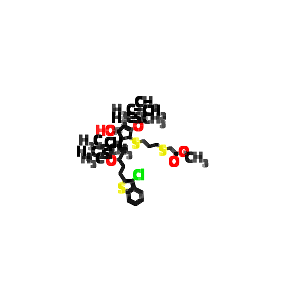 COC(=O)CSCCCSC1C(O[Si](C)(C)C(C)(C)C)=C[C@@H](O)C1C=CC(CCc1sc2ccccc2c1Cl)O[Si](C)(C)C(C)(C)C